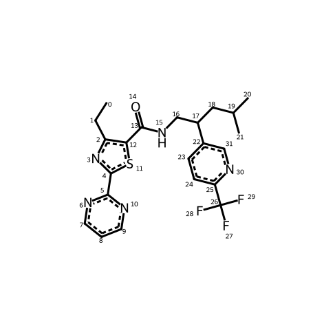 CCc1nc(-c2ncccn2)sc1C(=O)NCC(CC(C)C)c1ccc(C(F)(F)F)nc1